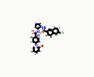 O=C(N[C@H]1CCC[C@H]1NC(=O)c1ccc2cc(Cl)ccc2c1)c1ccc(-n2ccccc2=O)cc1